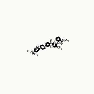 CNC(=O)c1cccc(C)c1Nc1nc(Nc2ccc(N3CCN(C4C5CC(N(C)C)C[PH]54N)CC3)cc2OC)ncc1C(F)(F)F